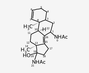 CC(=O)NC1CC2CCC=C[C@]2(C)[C@@H]2CC[C@@]3(C)C(=C12)CCC3(O)NC(C)=O